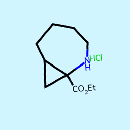 CCOC(=O)C12CC1CCCCN2.Cl